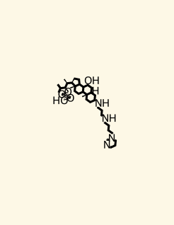 CC(C)[C@H](OS(=O)(=O)O)[C@@H](C)[C@H]1CCC2C3C(CC[C@@]21C)[C@@]1(C)CC[C@H](NCCCNCCCCN2C=NCCC2)C[C@@H]1C[C@H]3O